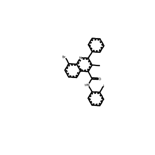 Cc1c(-c2ccccc2)nc2c(Br)cccc2c1C(=O)Nc1ccccc1I